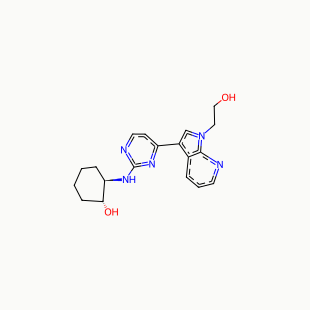 OCCn1cc(-c2ccnc(N[C@@H]3CCCC[C@H]3O)n2)c2cccnc21